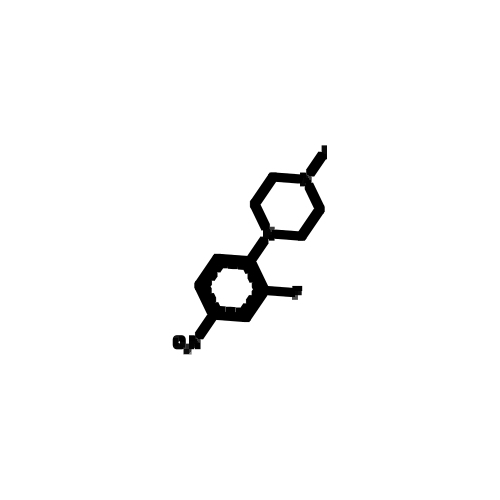 O=[N+]([O-])c1ccc(N2CCN(I)CC2)c(F)c1